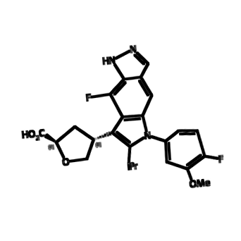 COc1cc(-n2c(C(C)C)c([C@@H]3CO[C@@H](C(=O)O)C3)c3c(F)c4[nH]ncc4cc32)ccc1F